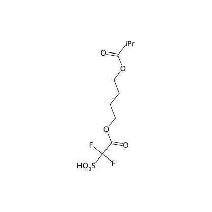 CC(C)C(=O)OCCCCOC(=O)C(F)(F)S(=O)(=O)O